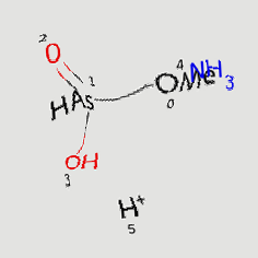 CO[AsH](=O)O.N.[H+]